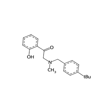 CN(CC(=O)c1ccccc1O)Cc1ccc(C(C)(C)C)cc1